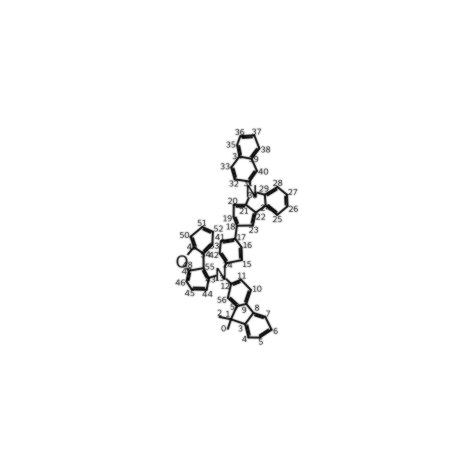 CC1(C)c2ccccc2-c2ccc(N(c3ccc(-c4ccc5c(c4)c4ccccc4n5-c4ccc5ccccc5c4)cc3)c3cccc4oc5ccccc5c34)cc21